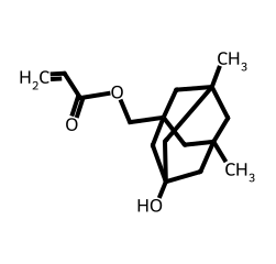 C=CC(=O)OCC12CC3(C)CC(C)(CC(O)(C3)C1)C2